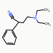 CCN(CC)CCC(C#N)c1ccccc1